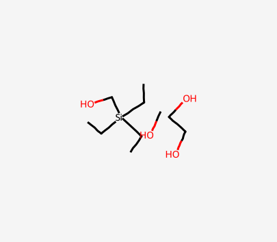 CC[Si](CC)(CC)CO.CO.OCCO